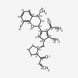 C=CC(=O)N1CCC[C@H]1Cn1nc(C2CN(C)c3cccc(F)c3O2)c(C(N)=O)c1N